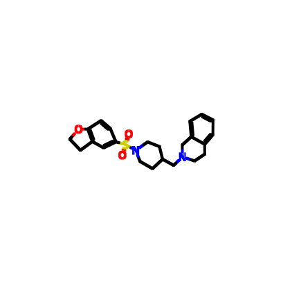 O=S(=O)(c1ccc2c(c1)CCO2)N1CCC(CN2CCc3ccccc3C2)CC1